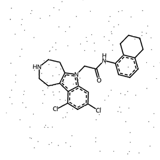 O=C(Cn1c2c(c3c(Cl)cc(Cl)cc31)CCNCC2)Nc1cccc2c1CCCC2